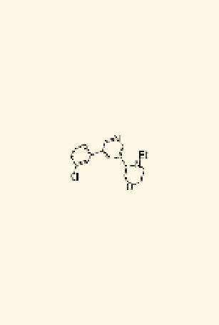 [CH2]CN1CCOCC1c1cncc(-c2cccc(Cl)c2)c1